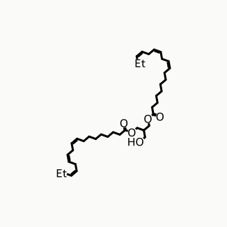 CC/C=C\C/C=C\C/C=C\CCCCCCCC(=O)OCC(CO)COC(=O)CCCCCCC/C=C\C/C=C\C/C=C\CC